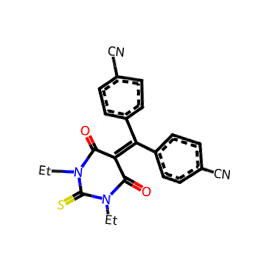 CCN1C(=O)C(=C(c2ccc(C#N)cc2)c2ccc(C#N)cc2)C(=O)N(CC)C1=S